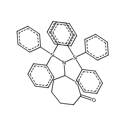 O=C1CCCCC(N([Si](c2ccccc2)(c2ccccc2)c2ccccc2)[Si](c2ccccc2)(c2ccccc2)c2ccccc2)O1